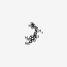 CCc1cc2c(cc1N1CCC(N(C)Cc3cccc(N4CCC(=O)NC4=O)c3)CC1)C(C)(C)c1[nH]c3cc(C#N)ccc3c1C2=O